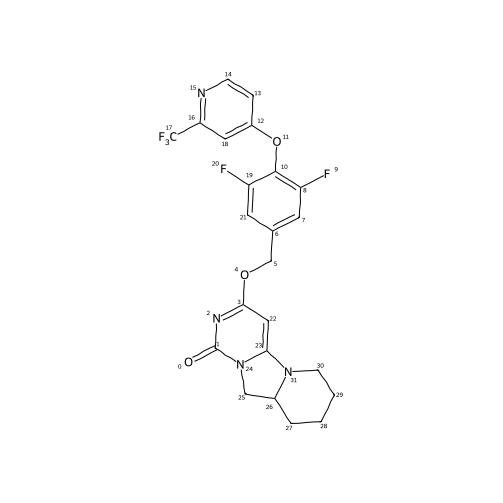 O=c1nc(OCc2cc(F)c(Oc3ccnc(C(F)(F)F)c3)c(F)c2)cc2n1CC1CCCCN21